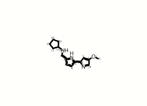 COC1=CC(=c2ccc(=CNC3CCCC3)[nH]2)N=C1